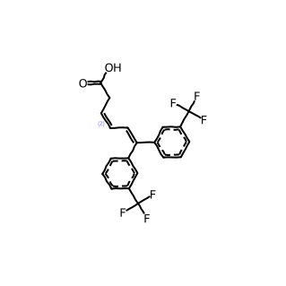 O=C(O)C/C=C\C=C(c1cccc(C(F)(F)F)c1)c1cccc(C(F)(F)F)c1